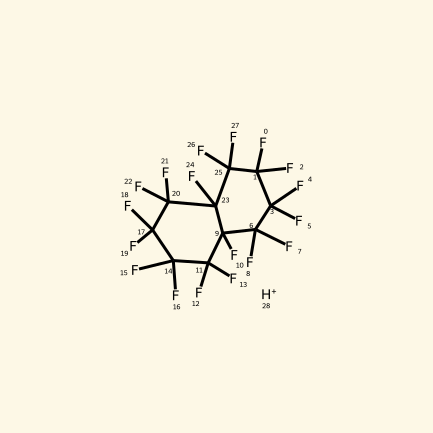 FC1(F)C(F)(F)C(F)(F)C2(F)C(F)(F)C(F)(F)C(F)(F)C(F)(F)C2(F)C1(F)F.[H+]